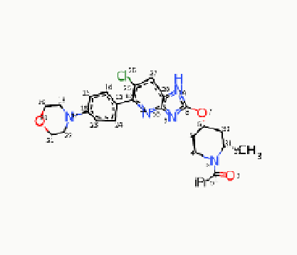 CC(C)C(=O)N1CC[C@H](Oc2nc3nc(-c4ccc(N5CCOCC5)cc4)c(Cl)cc3[nH]2)C[C@@H]1C